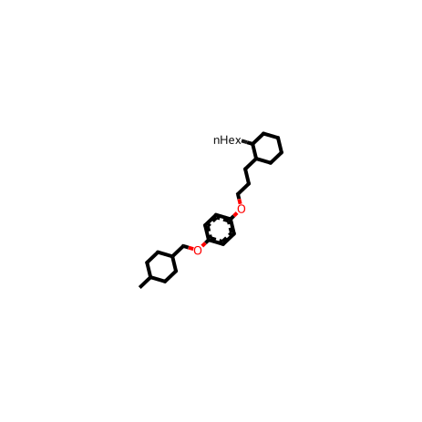 CCCCCCC1CCCCC1CCCOc1ccc(OCC2CCC(C)CC2)cc1